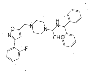 O=CC(NC(c1ccccc1)c1ccccc1)N1CCN(Cc2cc(-c3ccccc3F)no2)CC1